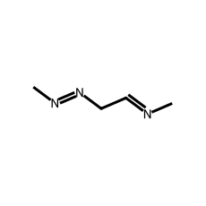 CN=CCN=NC